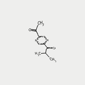 CC(=O)c1cnc(C(=O)C(C)C)cn1